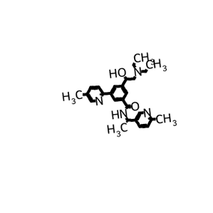 CCN(CC)CC(O)c1cc(C(=O)N[C@H](C)c2ccc(C)nc2)cc(-c2ccc(C)cn2)c1